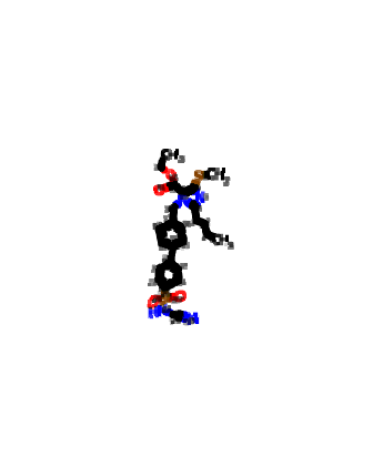 CCCCc1nc(SC)c(C(=O)OCC)n1Cc1ccc(-c2ccc(S(=O)(=O)NC#N)cc2)cc1